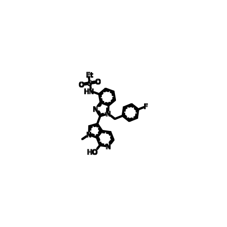 CCS(=O)(=O)Nc1cccc2c1nc(-c1cn(C)c3c(O)nccc13)n2Cc1ccc(F)cc1